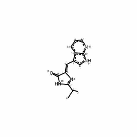 CC(C)C1=NC(=Cc2c[nH]c3ncccc23)C(=O)N1